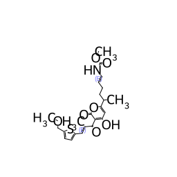 COCc1ccc(/C=C(\C)C(=O)c2c(O)cc(C(C)CC/C=C/NC(=O)OC)oc2=O)s1